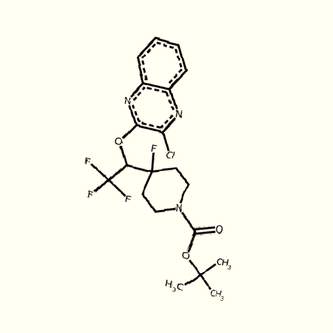 CC(C)(C)OC(=O)N1CCC(F)(C(Oc2nc3ccccc3nc2Cl)C(F)(F)F)CC1